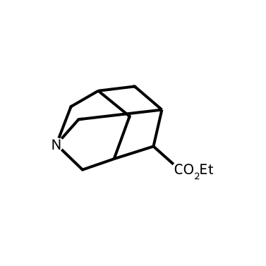 CCOC(=O)C1C2CC3CC1CN(C3)C2